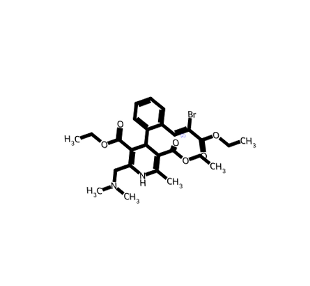 CCOC(=O)C1=C(C)NC(CN(C)C)=C(C(=O)OCC)C1c1ccccc1/C=C(\Br)C(=O)OCC